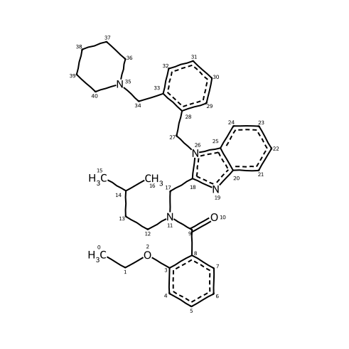 CCOc1ccccc1C(=O)N(CCC(C)C)Cc1nc2ccccc2n1Cc1ccccc1CN1CCCCC1